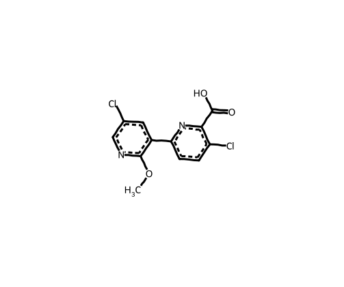 COc1ncc(Cl)cc1-c1ccc(Cl)c(C(=O)O)n1